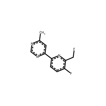 Cc1cc(-c2ccc(F)c(CF)n2)ncn1